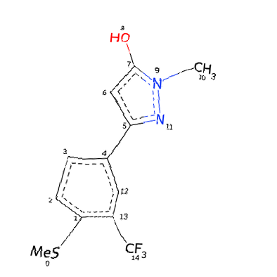 CSc1ccc(-c2cc(O)n(C)n2)cc1C(F)(F)F